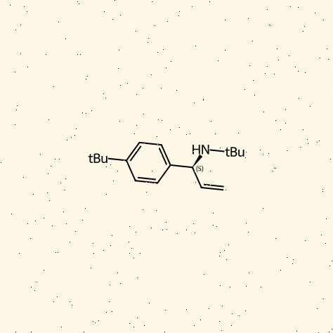 C=C[C@H](NC(C)(C)C)c1ccc(C(C)(C)C)cc1